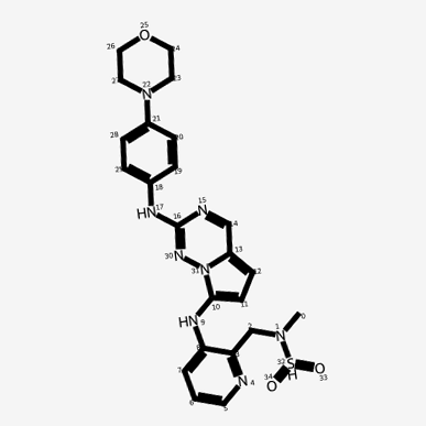 CN(Cc1ncccc1Nc1ccc2cnc(Nc3ccc(N4CCOCC4)cc3)nn12)[SH](=O)=O